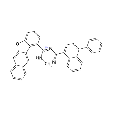 CN/C(=N\C(=N)c1ccc(-c2ccccc2)c2ccccc12)c1cccc2oc3cc4ccccc4cc3c12